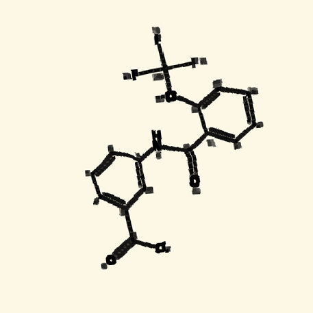 O=C(Cl)c1cccc(NC(=O)c2ccccc2OC(F)(F)F)c1